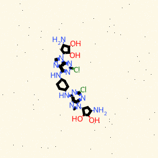 N[C@H]1C[C@@H](n2cnc3c(N[C@H]4CC[C@H](Nc5nc(Cl)nc6c5ncn6[C@@H]5C[C@H](N)[C@@H](O)[C@H]5O)CC4)nc(Cl)nc32)[C@H](O)[C@@H]1O